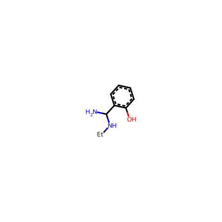 CCNC(N)c1ccccc1O